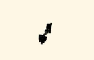 CCC[SiH]1CCC([C@H]2CC[C@H](CCc3cc(F)c(C(F)=C(F)F)c(F)c3)CC2)CC1